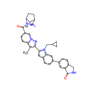 Cc1c(-c2cc3ccc(-c4ccc5c(c4)C(=O)NC5)cc3n2CC2CC2)nn2cc(C(=O)N3CC4CCC3[C@@H]4N)ccc12